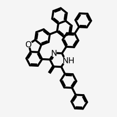 C=C1C(c2cccc3oc4ccc(-c5cccc6ccccc56)cc4c23)=NC(c2ccc(-c3ccccc3)cc2)NC1c1ccc(-c2ccccc2)cc1